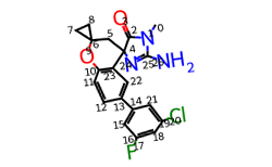 CN1C(=O)C2(CC3(CC3)Oc3ccc(-c4cc(F)cc(Cl)c4)cc32)N=C1N